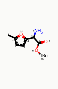 Cc1ccc(C(N)C(=O)OC(C)(C)C)o1